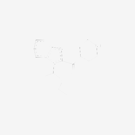 CCOC(C)n1c(C(=O)C2CCNCC2)nc2ccccc21